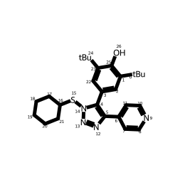 CC(C)(C)c1cc(-c2c(-c3ccncc3)nnn2SC2CCCCC2)cc(C(C)(C)C)c1O